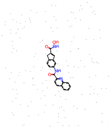 O=C(NO)C1=Cc2cc(NC(=O)c3ccc4ccccc4n3)ccc2C1